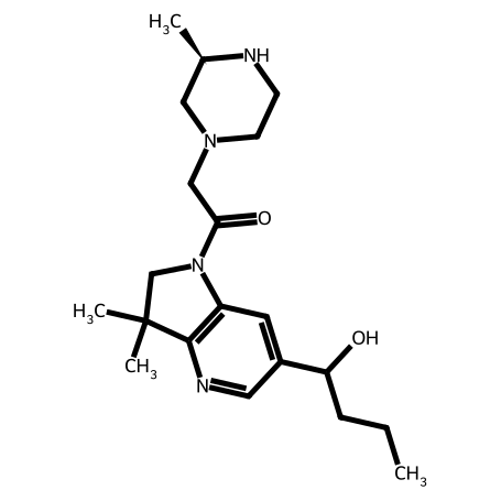 CCCC(O)c1cnc2c(c1)N(C(=O)CN1CCN[C@H](C)C1)CC2(C)C